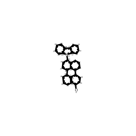 Clc1ccc(-c2cccc3c(-n4c5ccccc5c5ccccc54)ccc(-c4ccccc4)c23)cc1